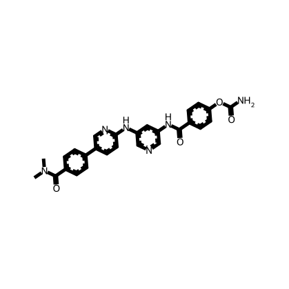 CN(C)C(=O)c1ccc(-c2ccc(Nc3cncc(NC(=O)c4ccc(OC(N)=O)cc4)c3)nc2)cc1